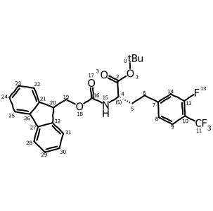 CC(C)(C)OC(=O)[C@H](CCc1ccc(C(F)(F)F)c(F)c1)NC(=O)OCC1c2ccccc2-c2ccccc21